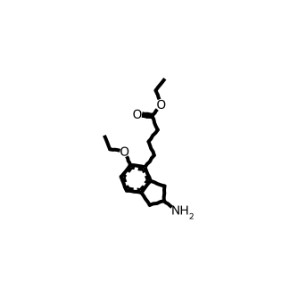 CCOC(=O)CCCc1c(OCC)ccc2c1CC(N)C2